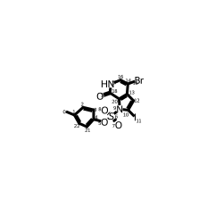 Cc1ccc(OS(=O)(=O)n2c(I)cc3c(Br)c[nH]c(=O)c32)cc1